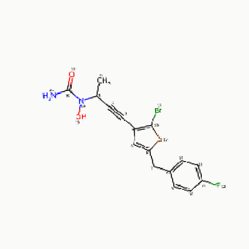 CC(C#Cc1cc(Cc2ccc(F)cc2)sc1Br)N(O)C(N)=O